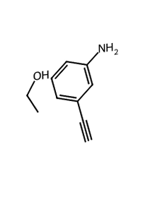 C#Cc1cccc(N)c1.CCO